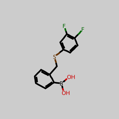 OB(O)c1ccccc1CSc1ccc(F)c(F)c1